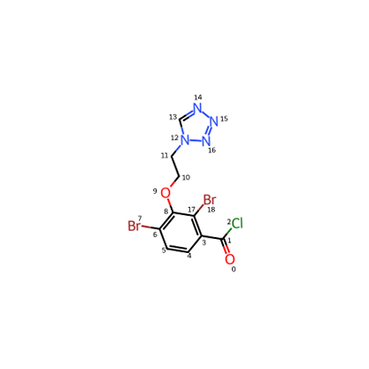 O=C(Cl)c1ccc(Br)c(OCCn2cnnn2)c1Br